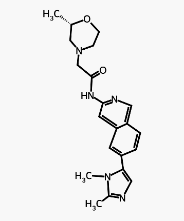 Cc1ncc(-c2ccc3cnc(NC(=O)CN4CCO[C@@H](C)C4)cc3c2)n1C